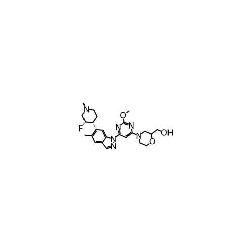 COc1nc(N2CCOC(CO)C2)cc(-n2ncc3cc(C)c([C@H]4CCN(C)C[C@H]4F)cc32)n1